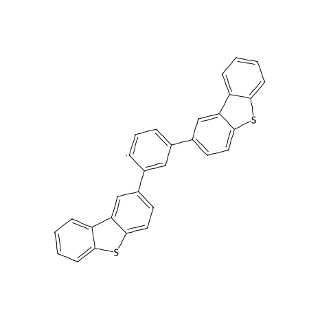 [c]1ccc(-c2ccc3sc4ccccc4c3c2)cc1-c1ccc2sc3ccccc3c2c1